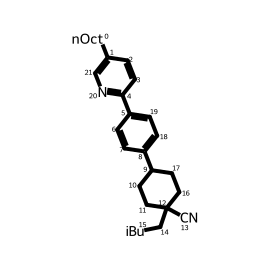 CCCCCCCCc1ccc(-c2ccc(C3CCC(C#N)(CC(C)CC)CC3)cc2)nc1